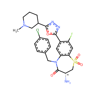 CN1CCCC(c2nnc(-c3cc4c(cc3F)S(=O)(=O)C[C@H](N)C(=O)N4Cc3ccc(Cl)cc3)o2)C1